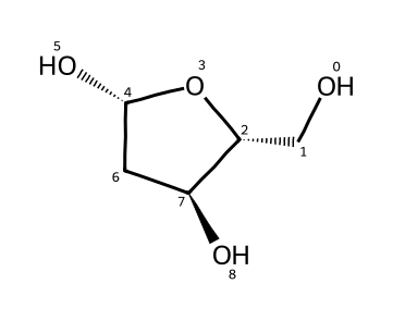 OC[C@H]1O[C@@H](O)C[C@@H]1O